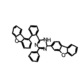 c1ccc(C2=NC(c3ccc4c(c3)oc3ccccc34)NC(c3ccccc3-c3cccc4oc5ccccc5c34)=N2)cc1